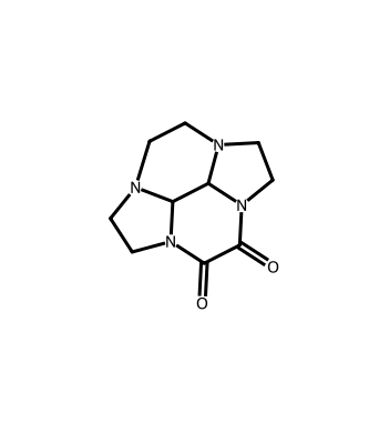 O=C1C(=O)N2CCN3CCN4CCN1C4C32